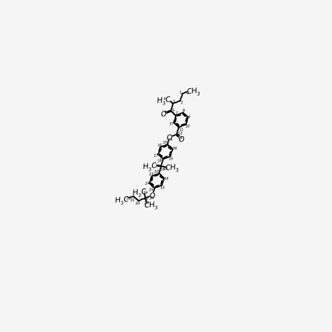 CCCC(C)C(=O)c1cccc(C(=O)Oc2ccc(C(C)(C)c3ccc(OC(C)(C)CCC)cc3)cc2)c1